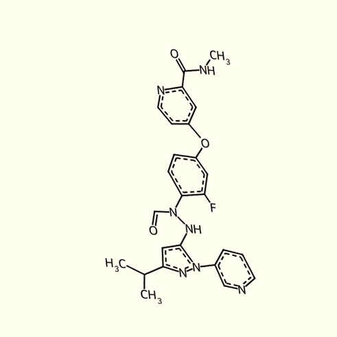 CNC(=O)c1cc(Oc2ccc(N(C=O)Nc3cc(C(C)C)nn3-c3cccnc3)c(F)c2)ccn1